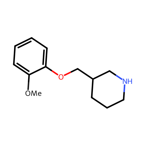 COc1ccccc1OCC1CCCNC1